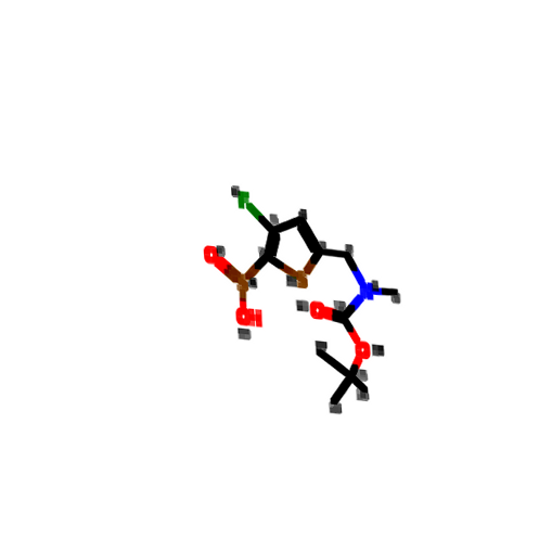 CN(Cc1cc(F)c(S(=O)O)s1)C(=O)OC(C)(C)C